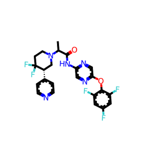 CC(C(=O)Nc1cnc(Oc2c(F)cc(F)cc2F)cn1)N1CCC(F)(F)[C@@H](c2ccncc2)C1